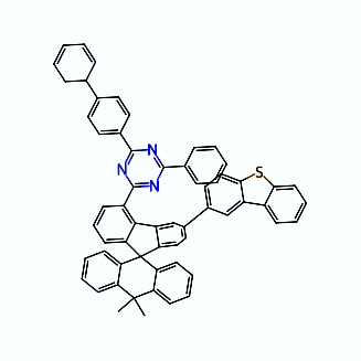 CC1(C)c2ccccc2C2(c3ccc(-c4ccc5sc6ccccc6c5c4)cc3-c3c(-c4nc(-c5ccccc5)nc(-c5ccc(C6C=CC=CC6)cc5)n4)cccc32)c2ccccc21